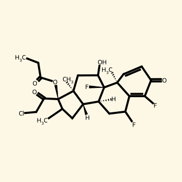 CCC(=O)O[C@]1(C(=O)CCl)C(C)C[C@H]2[C@@H]3CC(F)C4=C(F)C(=O)C=C[C@]4(C)[C@@]3(F)C(O)C[C@@]21C